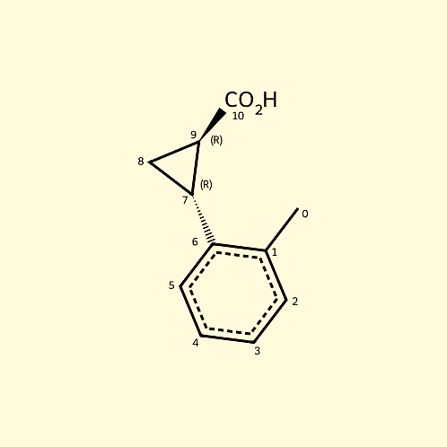 Cc1ccccc1[C@@H]1C[C@H]1C(=O)O